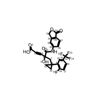 O=C(O)C#CC(O)(CC1(c2cc(C(F)(F)F)ccc2F)CC1)C(=O)Nc1ccc2c(c1)COC2=O